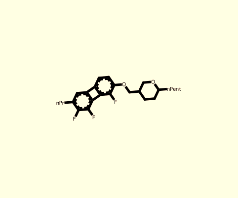 CCCCCC1CCC(COc2ccc3c(c2F)-c2c-3cc(CCC)c(F)c2F)CO1